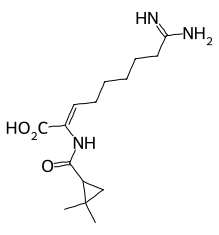 CC1(C)CC1C(=O)N/C(=C\CCCCCC(=N)N)C(=O)O